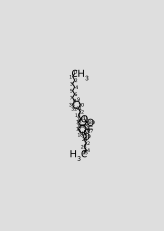 CCCCCCCCC1CCC(CCc2cc3ccc(OCCCCC)c(F)c3c(=O)o2)CC1